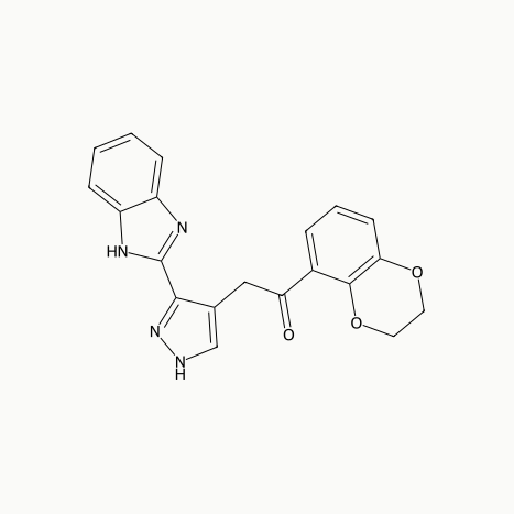 O=C(Cc1c[nH]nc1-c1nc2ccccc2[nH]1)c1cccc2c1OCCO2